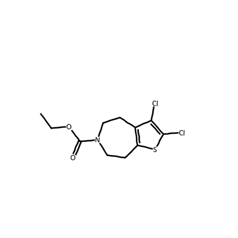 CCOC(=O)N1CCc2sc(Cl)c(Cl)c2CC1